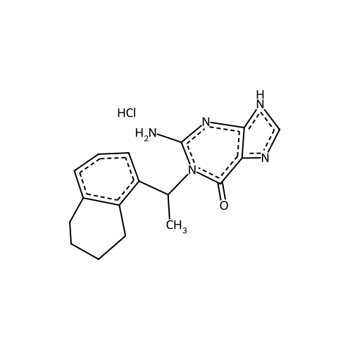 CC(c1cccc2c1CCCC2)n1c(N)nc2[nH]cnc2c1=O.Cl